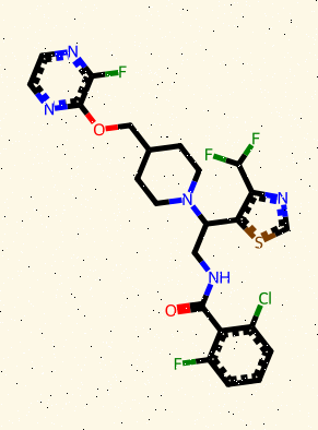 O=C(NCC(c1scnc1C(F)F)N1CCC(COc2nccnc2F)CC1)c1c(F)cccc1Cl